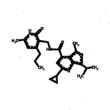 CCCc1cc(C)[nH]c(=O)c1CNC(=O)c1cc(C2CC2)nc2c1c(C)nn2C(C)C